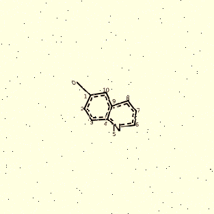 Cc1c[c]c2ncccc2c1